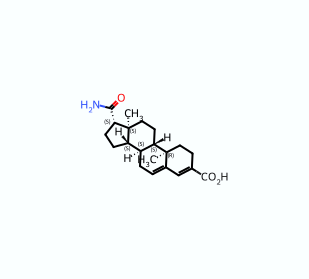 C[C@]12CC[C@H]3[C@@H](CC=C4C=C(C(=O)O)CC[C@@]43C)[C@@H]1CC[C@@H]2C(N)=O